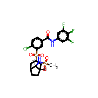 CS(=O)(=O)N[C@@H]1C2CC[C@H]1C[C@H](S(=O)(=O)c1cc(C(=O)Nc3cc(F)c(F)c(F)c3)ccc1Cl)C2